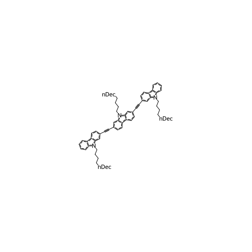 CCCCCCCCCCCCCCn1c2ccccc2c2ccc(C#Cc3ccc4c5ccc(C#Cc6ccc7c8ccccc8n(CCCCCCCCCCCCCC)c7c6)cc5n(CCCCCCCCCCCCCC)c4c3)cc21